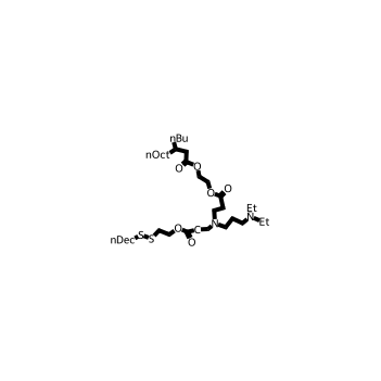 CCCCCCCCCCSSCCOC(=O)CCN(CCCN(CC)CC)CCC(=O)OCCOC(=O)CC(CCCC)CCCCCCCC